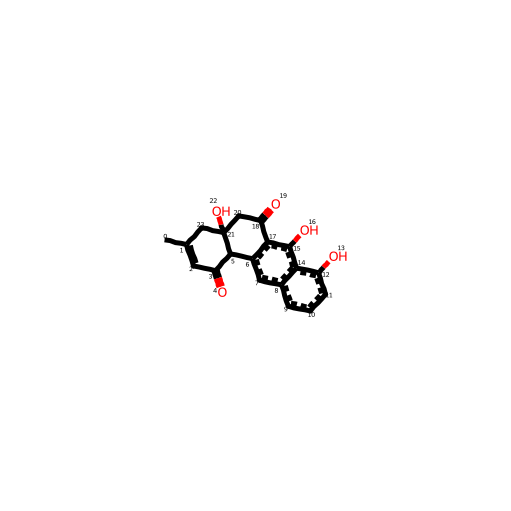 CC1=CC(=O)C2c3cc4cccc(O)c4c(O)c3C(=O)CC2(O)C1